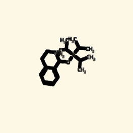 CC(C)[Si](OC1NCCc2ccccc21)(C(C)C)C(C)C